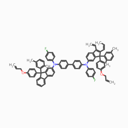 C=CCOc1ccc(C2(c3cc(C)ccc3C)C(/C=C\C)=C(C=C)c3ccc(N(c4ccc(F)cc4)c4ccc(-c5ccc(N(c6ccc(F)cc6)c6ccc7c(c6)C(c6ccc(OCC=C)cc6)(c6cc(C)ccc6C)c6ccccc6-7)cc5)cc4)cc32)cc1